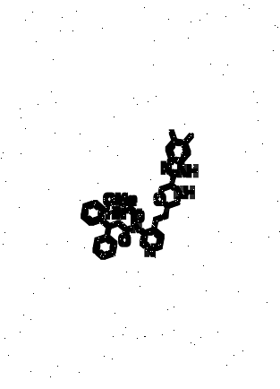 COC(=O)N[C@H](C(=O)Nc1cnccc1CC[C@@H]1CN[C@H](c2nc3cc(C)c(C)cc3[nH]2)CO1)C(c1ccccc1)c1ccccc1